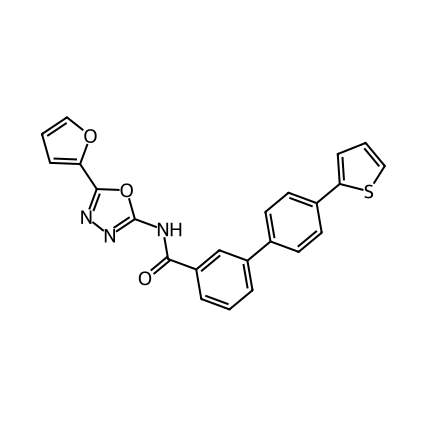 O=C(Nc1nnc(-c2ccco2)o1)c1cccc(-c2ccc(-c3cccs3)cc2)c1